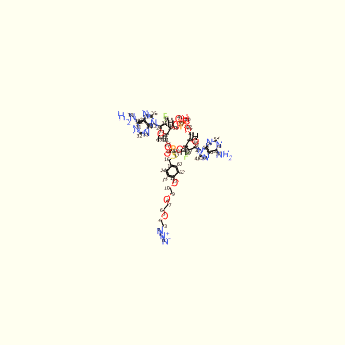 [N-]=[N+]=NCCOCCOCCOc1ccc(CS[P@@]2(=O)OC[C@H]3O[C@@H](n4cnc5c(N)ncnc54)[C@H](F)[C@@H]3OP(=O)(O)OC[C@H]3O[C@@H](n4cnc5c(N)ncnc54)[C@H](F)[C@@H]3O2)cc1